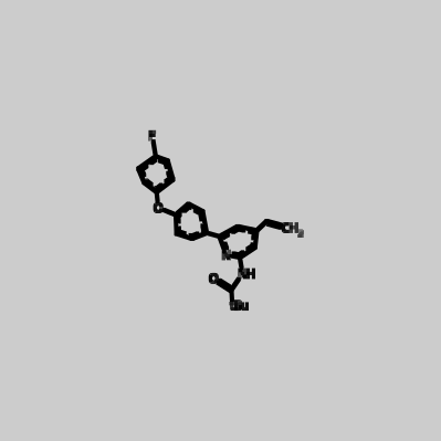 C=Cc1cc(NC(=O)C(C)(C)C)nc(-c2ccc(Oc3ccc(F)cc3)cc2)c1